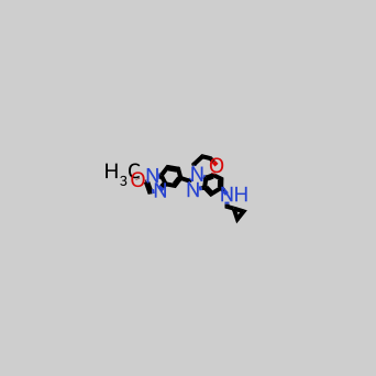 COc1cnc2cc(-c3nc4cc(NCC5CC5)cc5c4n3CCCO5)ccc2n1